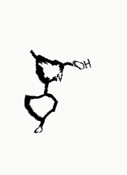 Cc1cc(O)nc(C2CCC(=O)CC2)c1